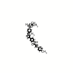 Cc1ccc(N2CC(C(=O)Nc3ccc(-c4cnn(CC5(C)CCN(C(=O)OC(C)(C)C)CC5)c4)cc3)C2)nn1